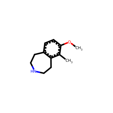 COc1ccc2c(c1C)CCNCC2